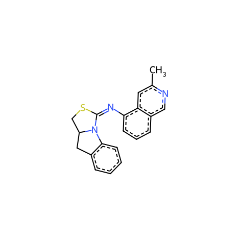 Cc1cc2c(N=C3SCC4Cc5ccccc5N34)cccc2cn1